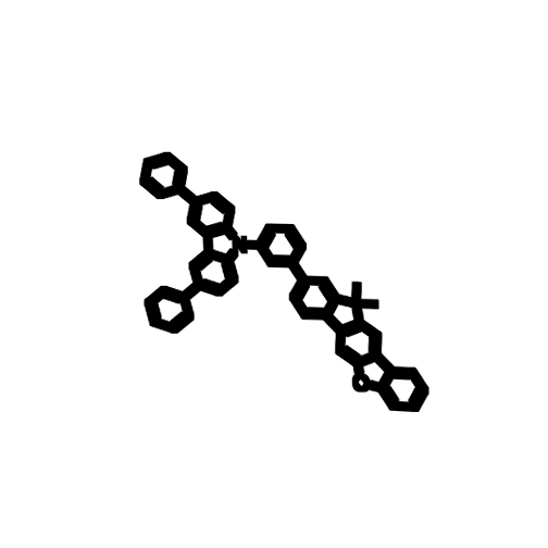 CC1(C)c2cc(-c3cccc(-n4c5ccc(-c6ccccc6)cc5c5cc(-c6ccccc6)ccc54)c3)ccc2-c2cc3oc4ccccc4c3cc21